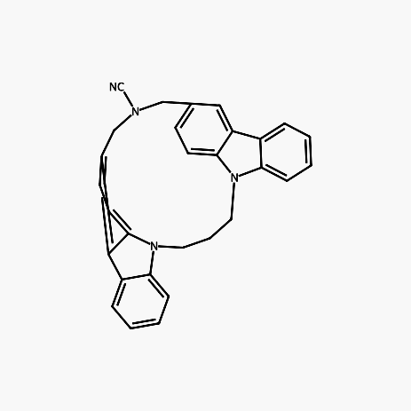 N#CN1Cc2ccc3c(c2)c2ccccc2n3CCCn2c3ccccc3c3cc(ccc32)C1